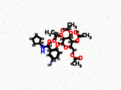 CC(=O)OCC1OC(Oc2ccc(I)cc2C(=O)NC2CCCC2)C(OC(C)=O)C(OC(C)=O)C1OC(C)=O